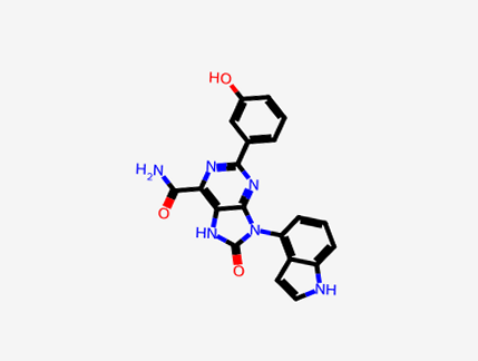 NC(=O)c1nc(-c2cccc(O)c2)nc2c1[nH]c(=O)n2-c1cccc2[nH]ccc12